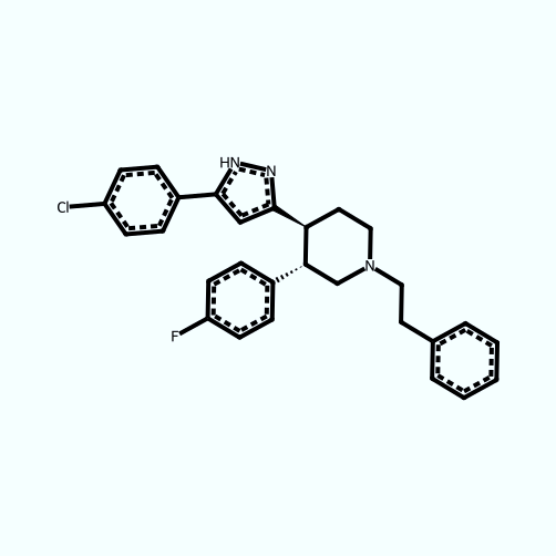 Fc1ccc([C@H]2CN(CCc3ccccc3)CC[C@@H]2c2cc(-c3ccc(Cl)cc3)[nH]n2)cc1